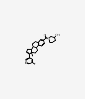 CC12CCC3c4ccc(C(=O)N5CCCC(O)C5)cc4CCC3C1CC=C2c1cncc(F)c1